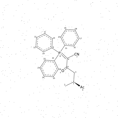 CC(=O)[C@@H](C)CC(=O)C(C#N)=P(c1ccccc1)(c1ccccc1)c1ccccc1